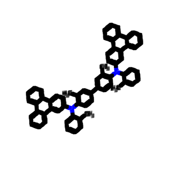 Cc1ccccc1N(c1ccc2c3ccccc3c3ccccc3c2c1)c1ccc(-c2ccc(N(c3ccc4c5ccccc5c5ccccc5c4c3)c3ccccc3C)c(C)c2)cc1C